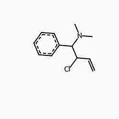 C=CC(Cl)C(c1ccccc1)N(C)C